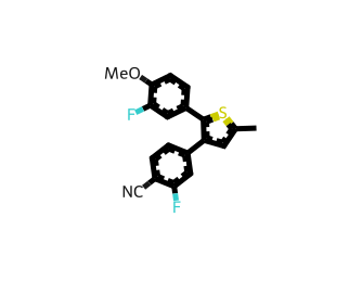 COc1ccc(-c2sc(C)cc2-c2ccc(C#N)c(F)c2)cc1F